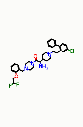 N[C@@H](C(=O)N1CCN(Cc2ccccc2OCC(F)F)CC1)C1CCN(CCc2cc(Cl)ccc2-c2ccccc2)CC1